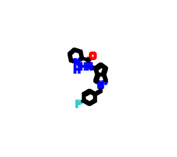 O=C(NC1=CC=C2C=[N+](CC3C=C[C@H](F)CC3)C=C21)[C@@H]1CCCCN1